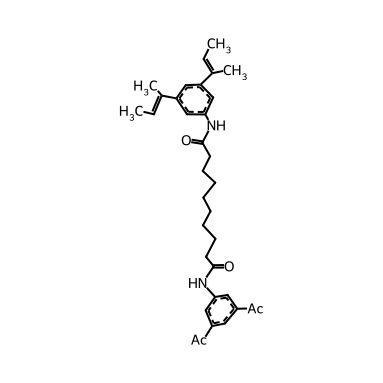 CC=C(C)c1cc(NC(=O)CCCCCCCCC(=O)Nc2cc(C(C)=O)cc(C(C)=O)c2)cc(C(C)=CC)c1